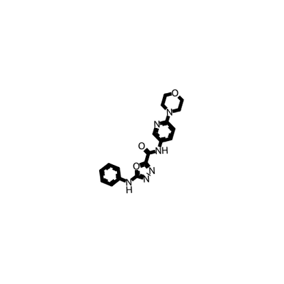 O=C(Nc1ccc(N2CCOCC2)nc1)c1nnc(Nc2ccccc2)o1